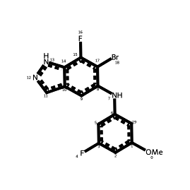 COc1cc(F)cc(Nc2cc3cn[nH]c3c(F)c2Br)c1